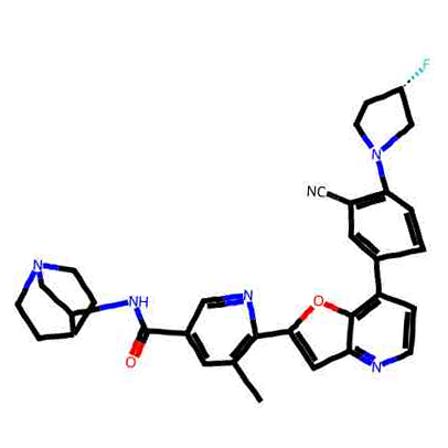 Cc1cc(C(=O)NC2CN3CCC2CC3)cnc1-c1cc2nccc(-c3ccc(N4CC[C@H](F)C4)c(C#N)c3)c2o1